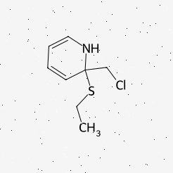 CCSC1(CCl)C=CC=CN1